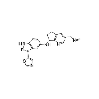 C=NCc1cnc2c(c1)CCC2Nc1ccc2[nH]nc(-c3cnco3)c2c1